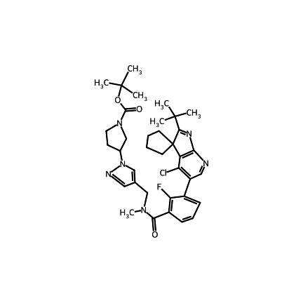 CN(Cc1cnn(C2CCN(C(=O)OC(C)(C)C)C2)c1)C(=O)c1cccc(-c2cnc3c(c2Cl)C2(CCCC2)C(C(C)(C)C)=N3)c1F